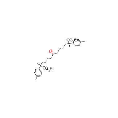 CCOC(=O)C(C)(CCCCC(=O)CCCCC(C)(C(=O)OCC)c1ccc(C)cc1)c1ccc(C)cc1